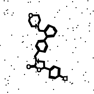 O=C1OC(c2ccc(Cl)cc2)CN1Cc1ccc(-c2ccccc2CN2CCOCC2)cc1